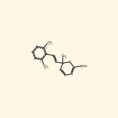 CC(=O)NC1=CC=CC(N)(C=Cc2c(C)cccc2C)C1